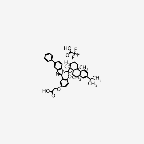 COc1ccc(OCC(=O)O)cc1-c1nc2cc(-c3ccccc3)ccc2n1C[C@@]1(C)CCC[C@]2(C)c3ccc(C(C)C)cc3CC[C@@H]12.O=C(O)C(F)(F)F